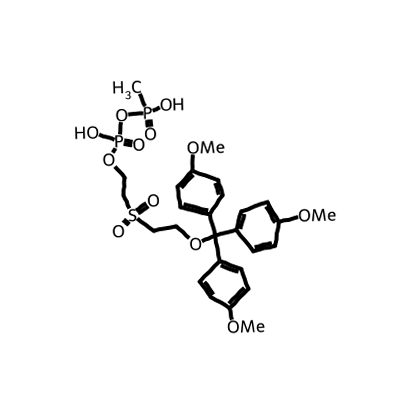 COc1ccc(C(OCCS(=O)(=O)CCOP(=O)(O)OP(C)(=O)O)(c2ccc(OC)cc2)c2ccc(OC)cc2)cc1